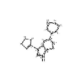 C1=C(c2n[nH]c3cnc(-c4cccnc4)cc23)CCC1